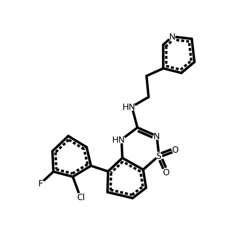 O=S1(=O)N=C(NCCc2cccnc2)Nc2c(-c3cccc(F)c3Cl)cccc21